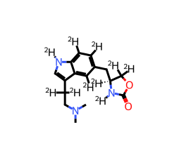 [2H]c1c(C[C@]2([2H])N([2H])C(=O)OC2([2H])[2H])c([2H])c2c(C([2H])([2H])CN(C)C)cn([2H])c2c1[2H]